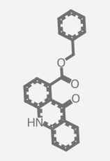 O=C(OCc1ccccc1)c1cccc2[nH]c3ccccc3c(=O)c12